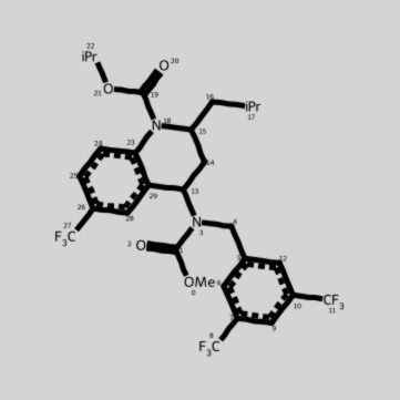 COC(=O)N(Cc1cc(C(F)(F)F)cc(C(F)(F)F)c1)C1CC(CC(C)C)N(C(=O)OC(C)C)c2ccc(C(F)(F)F)cc21